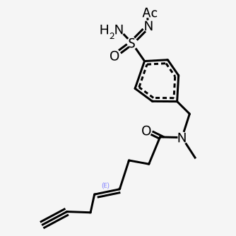 C#CC/C=C/CCC(=O)N(C)Cc1ccc(S(N)(=O)=NC(C)=O)cc1